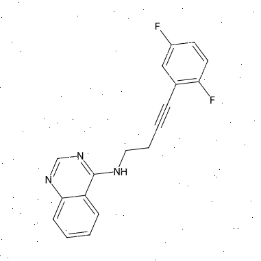 Fc1ccc(F)c(C#CCCNc2ncnc3ccccc23)c1